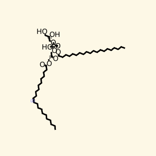 CCCCCCCCCC/C=C\CCCCCCCCCC(=O)OC[C@H](COP(=O)(O)OC[C@@H](O)CO)OC(=O)CCCCCCCCCCCCCCCCCCC